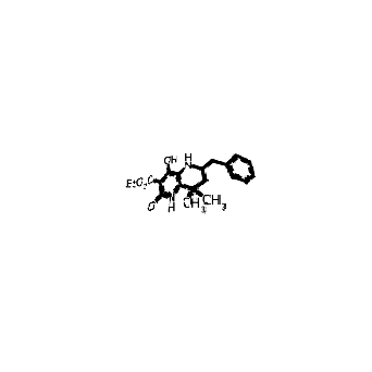 CCOC(=O)c1c(O)c2c([nH]c1=O)C(C)(C)CC(Cc1ccccc1)N2